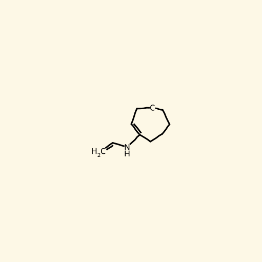 C=CN/C1=C/CCCCCC1